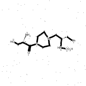 CC(C)C[C@@H](CN1CCN(C(=O)[C@@H](N)CO)CC1)NC(=O)O